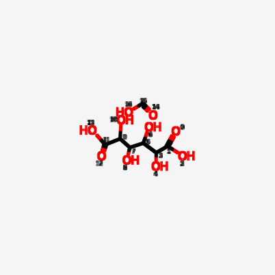 O=C(O)C(O)C(O)C(O)C(O)C(=O)O.O=CO